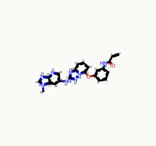 C=CC(=O)Nc1cccc(Oc2cccc3nc(Nc4cnc5ncn(C)c5c4)nn23)c1